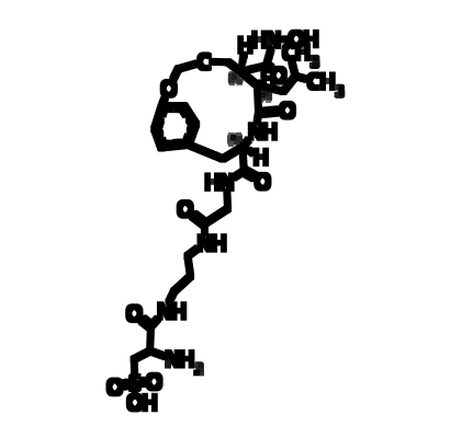 CC(C)C[C@H]1C(=O)N[C@H](C(=O)NCC(=O)NCCCNC(=O)C(N)CS(=O)(=O)O)Cc2ccc(cc2)OCCC[C@@H]1C(=O)NO